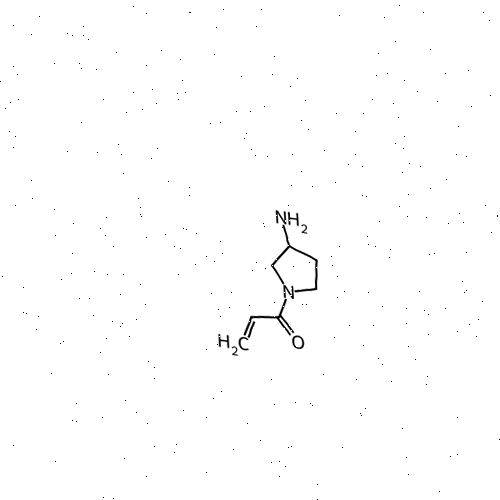 C=CC(=O)N1CCC(N)C1